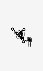 O=C(N[C@@H](C(=O)N1CCN(Cc2ccccc2/C=C/c2nnn[nH]2)CC1)C1CCN(CCc2ccccc2)CC1)OCc1ccccc1